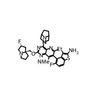 CCc1c(N)sc2ccc(F)c(-c3c(C)nc4c(N5CC6CCC(C5)N6)nc(OC[C@@]56CCCN5C[C@H](F)C6)nc4c3NC)c12